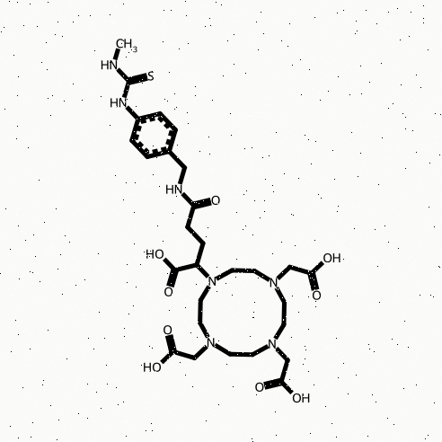 CNC(=S)Nc1ccc(CNC(=O)CCC(C(=O)O)N2CCN(CC(=O)O)CCN(CC(=O)O)CCN(CC(=O)O)CC2)cc1